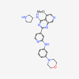 COc1cncc2nc(-c3ccnc(Nc4cccc(N5CCOCC5)c4)c3)nc(N[C@@H]3CCNC3)c12